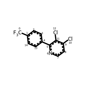 FC(F)(F)c1[c]cc(-c2nccc(Cl)c2Cl)cc1